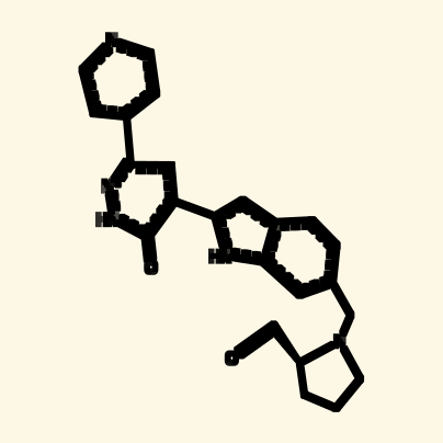 O=C[C@@H]1CCCN1Cc1ccc2cc(-c3cc(-c4ccncc4)n[nH]c3=O)[nH]c2c1